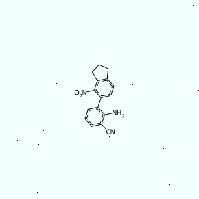 N#Cc1cccc(-c2ccc3c(c2[N+](=O)[O-])CCC3)c1N